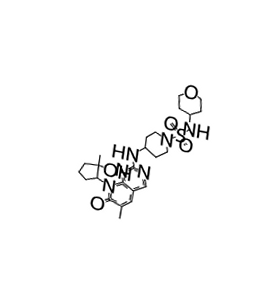 Cc1cc2cnc(NC3CCN(S(=O)(=O)NC4CCOCC4)CC3)nc2n(C2CCCC2(C)O)c1=O